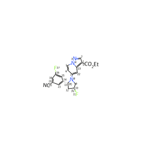 CCOC(=O)c1cnn2ccc(N3C[C@@H](F)C[C@@H]3c3cc(F)cc(C#N)c3)cc12